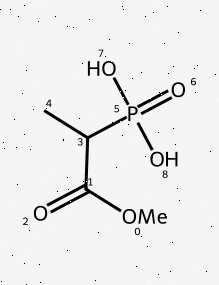 COC(=O)C(C)P(=O)(O)O